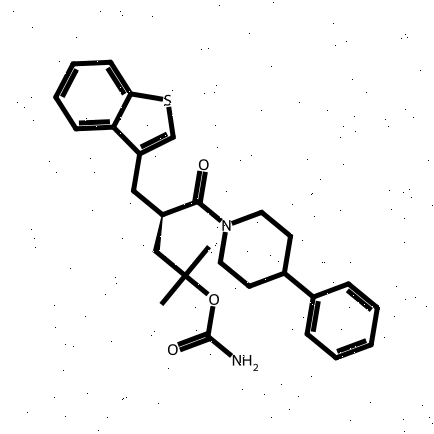 CC(C)(C[C@@H](Cc1csc2ccccc12)C(=O)N1CCC(c2ccccc2)CC1)OC(N)=O